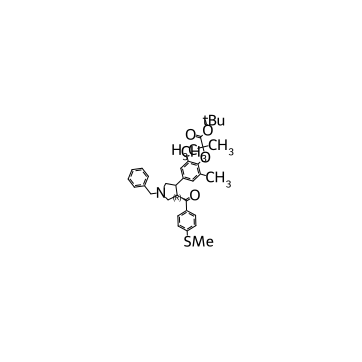 CSc1ccc(C(=O)[C@H]2CN(Cc3ccccc3)CC2c2cc(C)c(OC(C)(C)C(=O)OC(C)(C)C)c(C)c2)cc1